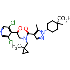 Cc1c(C(=O)N(CC(=O)c2c(Cl)cncc2Cl)CC2(C(F)(F)F)CC2)cnn1[C@H]1CC[C@](C)(C(=O)O)CC1